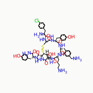 NCCCC[C@@H]1NC(=O)[C@@H](Cc2ccc(CN)cc2)NC(=O)[C@H](Cc2ccc(O)cc2)NC(=O)[C@H](NC(=O)[C@@H](N)Cc2ccc(Cl)cc2)CSSC2[C@@H](C(=O)N[C@H](Cc3ccc(O)cc3)C(N)=O)NC(=O)[C@@H](NC1=O)[C@@H]2O